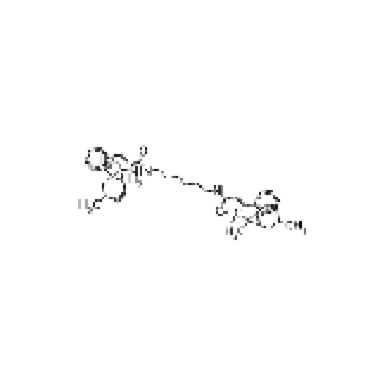 CC1C#CC2C(C)(C)C2(c2ccccc2C=CC(=O)NCCCCCCNC(=O)C=Cc2ccccc2C23CC(C)C#CC2C3(C)C)C1